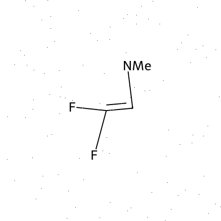 CNC=C(F)F